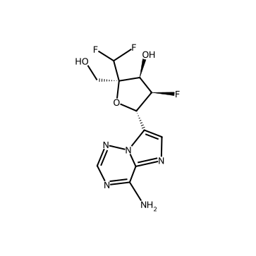 Nc1ncnn2c([C@@H]3O[C@@](CO)(C(F)F)[C@@H](O)[C@H]3F)cnc12